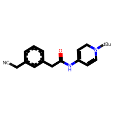 CC(C)(C)N1C=CC(NC(=O)Cc2cccc(CC#N)c2)=CC1